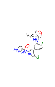 CCC1(CNc2cc(-c3cc(NC(=O)[C@@H]4CCCNC4)ncc3Cl)ccc2F)CCOCC1